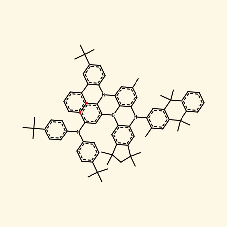 Cc1cc2c3c(c1)N(c1ccc(C(C)(C)C)cc1-c1ccccc1)c1ccc(N(c4ccc(C(C)(C)C)cc4)c4ccc(C(C)(C)C)cc4)cc1B3c1cc3c(cc1N2c1cc2c(cc1C)C(C)(C)c1ccccc1C2(C)C)C(C)(C)CC3(C)C